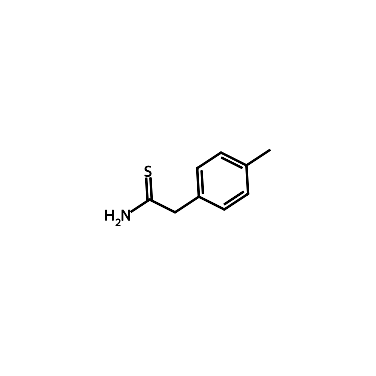 Cc1ccc(CC(N)=S)cc1